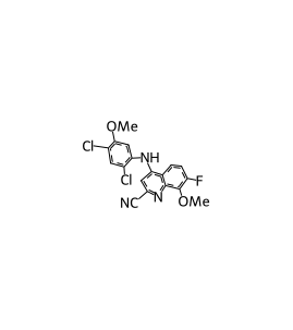 COc1cc(Nc2cc(C#N)nc3c(OC)c(F)ccc23)c(Cl)cc1Cl